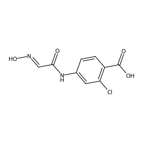 O=C(/C=N/O)Nc1ccc(C(=O)O)c(Cl)c1